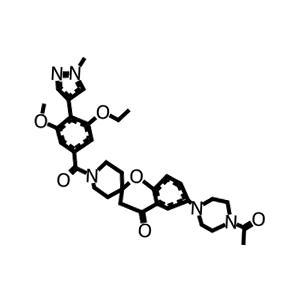 CCOc1cc(C(=O)N2CCC3(CC2)CC(=O)c2cc(N4CCN(C(C)=O)CC4)ccc2O3)cc(OC)c1-c1cnn(C)c1